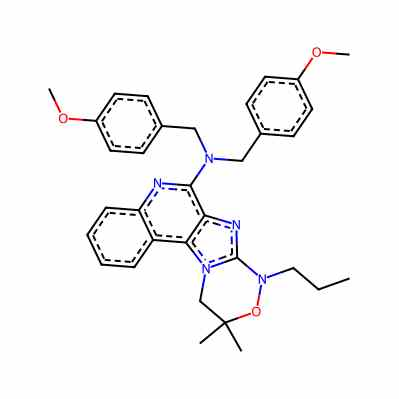 CCCN1OC(C)(C)Cn2c1nc1c(N(Cc3ccc(OC)cc3)Cc3ccc(OC)cc3)nc3ccccc3c12